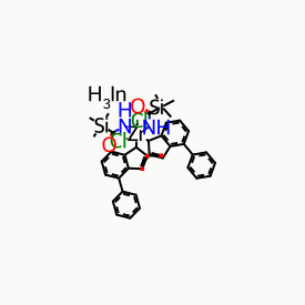 CC1=Cc2c(-c3ccccc3)cccc2[CH]1[Zr]([Cl])([Cl])([NH]C(=O)[Si](C)(C)C)([NH]C(=O)[Si](C)(C)C)[CH]1C(C)=Cc2c(-c3ccccc3)cccc21.[InH3]